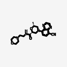 C[C@@H]1CN(c2ccc(C#N)c3nccnc23)C[C@H](C(=O)NCCN2CCOCC2)O1